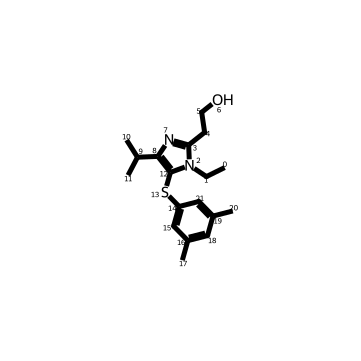 CCn1c(CCO)nc(C(C)C)c1Sc1cc(C)cc(C)c1